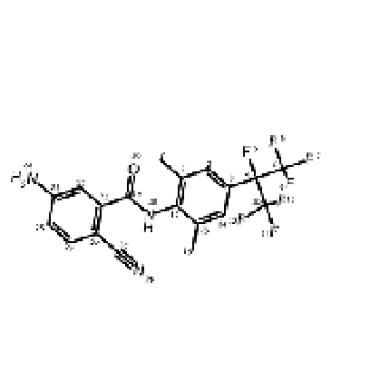 Cc1cc(C(F)(C(F)(F)F)C(F)(F)F)cc(C)c1NC(=O)c1cc(N)ccc1C#N